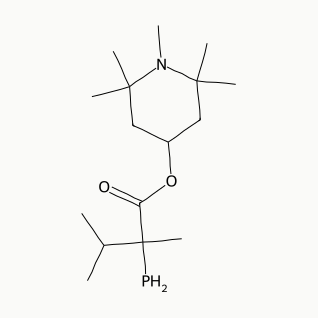 CC(C)C(C)(P)C(=O)OC1CC(C)(C)N(C)C(C)(C)C1